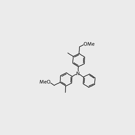 COCc1ccc(N(c2ccccc2)c2ccc(COC)c(C)c2)cc1C